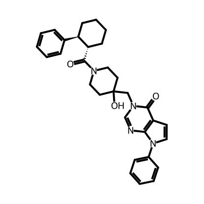 O=C([C@H]1CCCC[C@@H]1c1ccccc1)N1CCC(O)(Cn2cnc3c(ccn3-c3ccccc3)c2=O)CC1